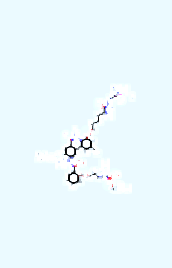 COc1cc(C(=O)N(C)c2ccc(C)cc2OCCCCCC(=O)NCC(N)=O)ccc1NC(=O)c1ccccc1OCCCNC(=O)OC(C)(C)C